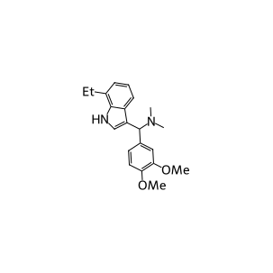 CCc1cccc2c(C(c3ccc(OC)c(OC)c3)N(C)C)c[nH]c12